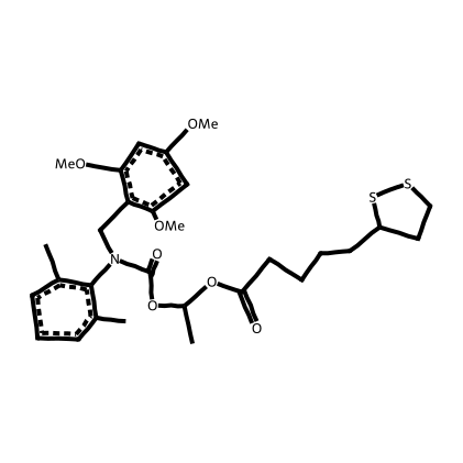 COc1cc(OC)c(CN(C(=O)OC(C)OC(=O)CCCCC2CCSS2)c2c(C)cccc2C)c(OC)c1